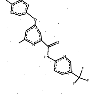 Cc1ccc(Oc2cc(C)nc(C(=O)Nc3ccc(C(F)(F)F)cn3)c2)cn1